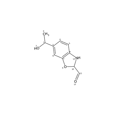 CC(O)c1ccc2c(c1)OC(C=O)N2